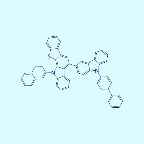 c1ccc(-c2ccc(-n3c4ccccc4c4cc(-c5cc6c7ccccc7sc6c6c5c5ccccc5n6-c5ccc6ccccc6c5)ccc43)cc2)cc1